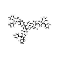 CC1(C)c2cc(-c3ccc4c(c3)c3ccccc3n4-c3ccccc3)ccc2-c2ccc(N(c3ccc(-c4ccc5c6ccccc6n(-c6ccccc6)c5c4)cc3)c3ccc(-c4ccc5c6ccccc6n(-c6ccccc6)c5c4)cc3)cc21